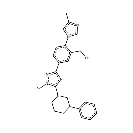 Cc1cn(-c2ccc(-c3nc(N4CCCC(c5ccccc5)C4)n(C(C)C)n3)cc2CO)cn1